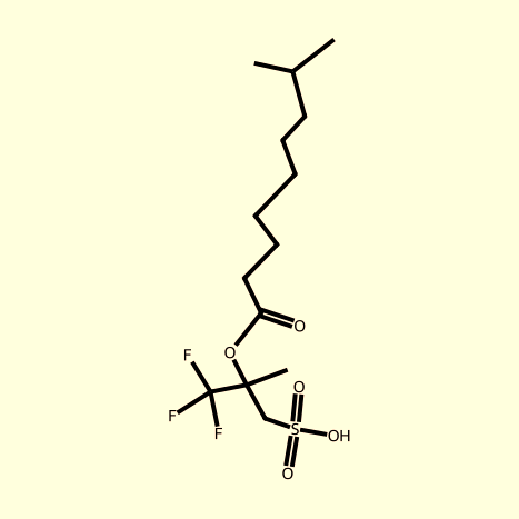 CC(C)CCCCCCC(=O)OC(C)(CS(=O)(=O)O)C(F)(F)F